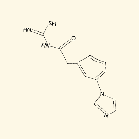 N=C(S)NC(=O)Cc1cccc(-n2ccnc2)c1